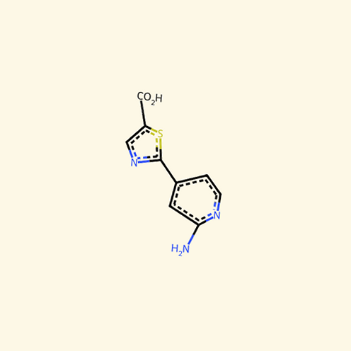 Nc1cc(-c2ncc(C(=O)O)s2)ccn1